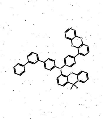 CC1(C)c2ccccc2Oc2c(N(c3ccc(-c4cccc(-c5ccccc5)c4)cc3)c3ccc(-c4cccc5c4Oc4ccccc4O5)cc3)cccc21